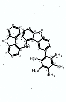 Bc1c(B)c(B)c(-c2ccc3oc4cccc(Nc5cccc6oc7ccccc7c56)c4c3c2)c(B)c1B